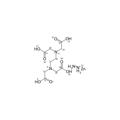 N.N.O=C(O)CN(CCN(CC(=O)O)CC(=O)O)CC(=O)O.[Zn]